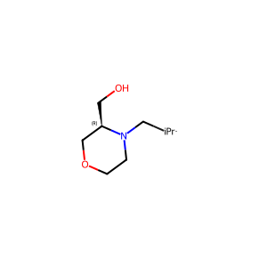 C[C](C)CN1CCOC[C@H]1CO